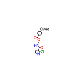 COc1ccc(C(=O)OCCNC(=O)c2cccnc2Cl)cc1